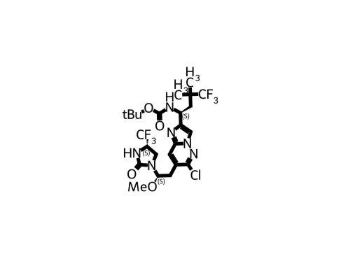 CO[C@@H](Cc1cc2nc([C@H](CC(C)(C)C(F)(F)F)NC(=O)OC(C)(C)C)cn2nc1Cl)N1C[C@@H](C(F)(F)F)NC1=O